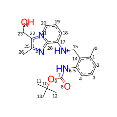 Cc1cccc(NC(=O)OC(C)(C)C)c1CNc1cccn2c(CO)c(C)nc12